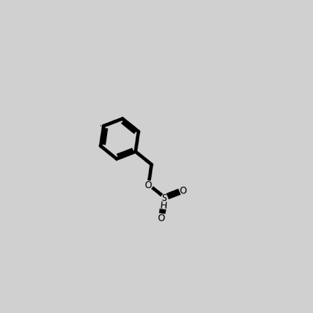 O=[SH](=O)OCc1cc[c]cc1